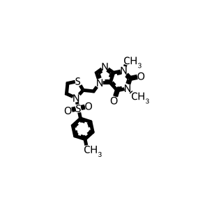 Cc1ccc(S(=O)(=O)N2CCSC2Cn2cnc3c2c(=O)n(C)c(=O)n3C)cc1